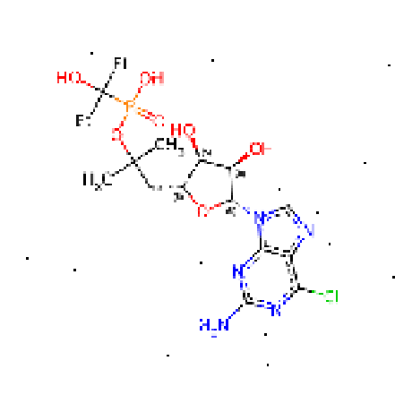 CCC(O)(CC)P(=O)(O)OC(C)(C)C[C@H]1O[C@@H](n2cnc3c(Cl)nc(N)nc32)[C@H](O)[C@@H]1O